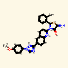 CC(C)c1ccccc1C1SC(=N)C(=O)N1c1ccc2cc(-c3ncn(-c4ccc(OC(F)(F)F)cc4)n3)ccc2n1